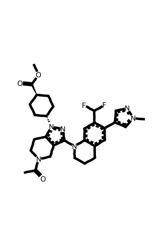 COC(=O)[C@H]1CC[C@H](n2nc(N3CCCc4cc(-c5cnn(C)c5)c(C(F)F)cc43)c3c2CCN(C(C)=O)C3)CC1